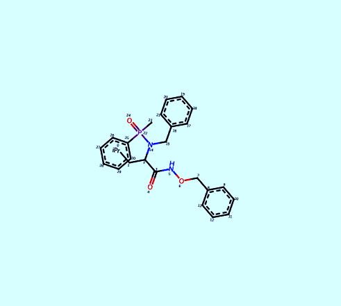 CC(C)CC(C(=O)NOCc1ccccc1)N(Cc1ccccc1)P(C)(=O)c1ccccc1